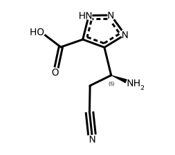 N#CC[C@H](N)c1nn[nH]c1C(=O)O